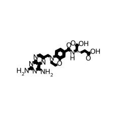 Nc1nc(N)c2nc(CN3CCOc4cc(C(=O)N[C@@H](CCC(=O)O)C(=O)O)ccc43)cnc2n1